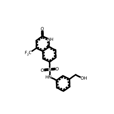 O=c1cc(C(F)(F)F)c2cc(S(=O)(=O)Nc3cccc(CO)c3)ccc2[nH]1